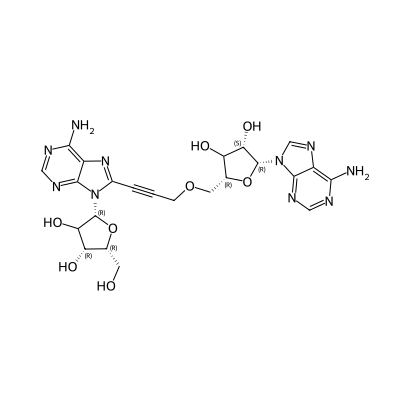 Nc1ncnc2c1ncn2[C@@H]1O[C@H](COCC#Cc2nc3c(N)ncnc3n2[C@@H]2O[C@H](CO)[C@H](O)C2O)C(O)[C@@H]1O